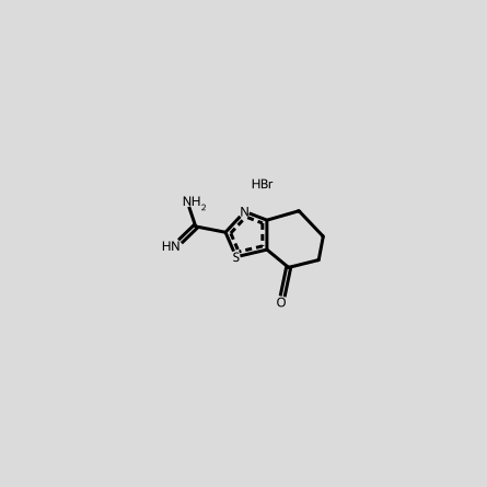 Br.N=C(N)c1nc2c(s1)C(=O)CCC2